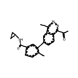 CC(=O)c1nnc(C)c2cc(-c3cc(C(=O)NC4CC4)ccc3C)ccc12